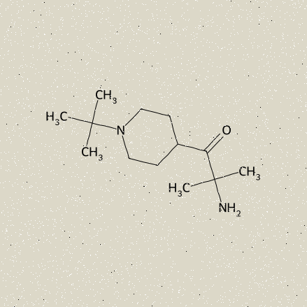 CC(C)(N)C(=O)C1CCN(C(C)(C)C)CC1